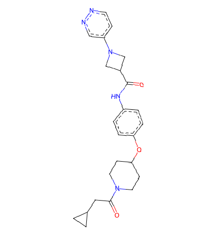 O=C(Nc1ccc(OC2CCN(C(=O)CC3CC3)CC2)cc1)C1CN(c2ccnnc2)C1